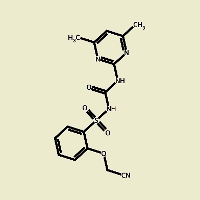 Cc1cc(C)nc(NC(=O)NS(=O)(=O)c2ccccc2OCC#N)n1